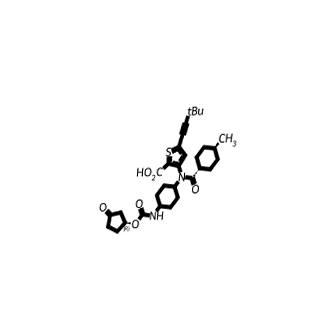 CC(C)(C)C#Cc1cc(N(C(=O)[C@H]2CC[C@H](C)CC2)C2CCC(NC(=O)O[C@@H]3CCC(=O)C3)CC2)c(C(=O)O)s1